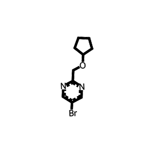 Brc1cnc(COC2CCCC2)nc1